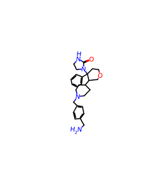 NCc1ccc(CN2CCC(C3COCCC3(c3ccccc3)N3CCNC3=O)CC2)cc1